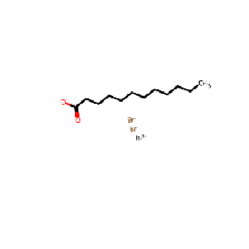 CCCCCCCCCCCC(=O)[O-].[Br-].[Br-].[In+3]